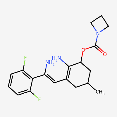 CC1CC(/C=C(\N)c2c(F)cccc2F)=C(N)C(OC(=O)N2CCC2)C1